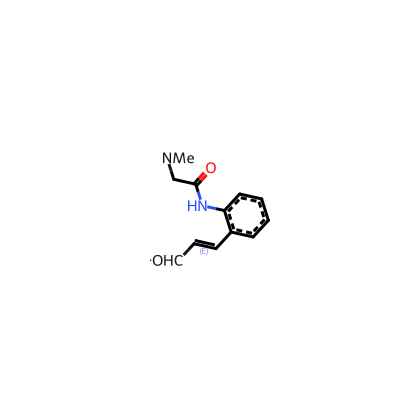 CNCC(=O)Nc1ccccc1/C=C/[C]=O